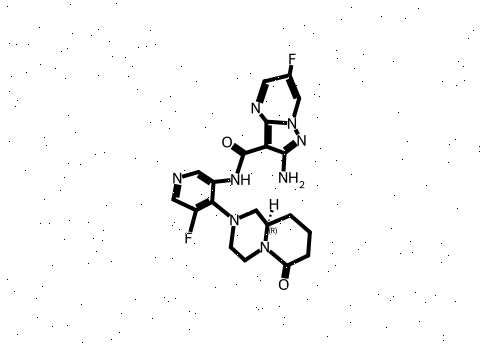 Nc1nn2cc(F)cnc2c1C(=O)Nc1cncc(F)c1N1CCN2C(=O)CCC[C@@H]2C1